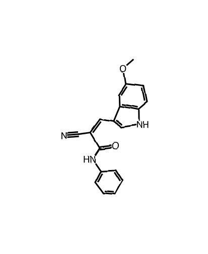 COc1ccc2[nH]cc(C=C(C#N)C(=O)Nc3ccccc3)c2c1